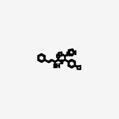 O=C(SC(c1ccc(Cl)cc1)C(Cl)n1ccnc1)C(S)C=Cc1ccccc1